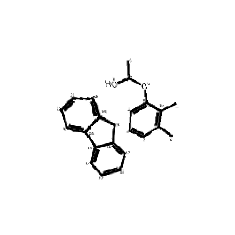 Cc1cccc(OC(C)O)c1C.c1ccc2c(c1)Cc1ccccc1-2